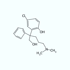 CN(C)CCCC(CO)(c1ccccc1)c1cc(Cl)ccc1O